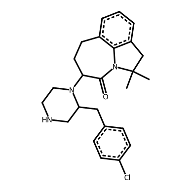 CC1(C)Cc2cccc3c2N1C(=O)C(N1CCNCC1Cc1ccc(Cl)cc1)CC3